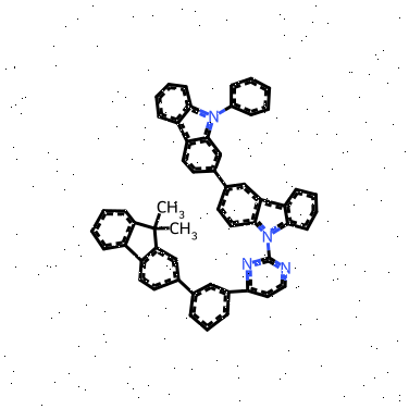 CC1(C)c2ccccc2-c2ccc(-c3cccc(-c4ccnc(-n5c6ccccc6c6cc(-c7ccc8c9ccccc9n(-c9ccccc9)c8c7)ccc65)n4)c3)cc21